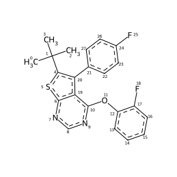 CC(C)(C)c1sc2ncnc(Oc3ccccc3F)c2c1-c1ccc(F)cc1